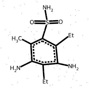 CCc1c(N)c(C)c(S(N)(=O)=O)c(CC)c1N